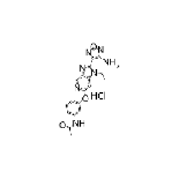 CCn1c(-c2nonc2N)nc2cnc(Oc3cccc(NC(C)=O)c3)cc21.Cl